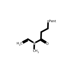 C=CN(C)C(=O)CCCCCCC